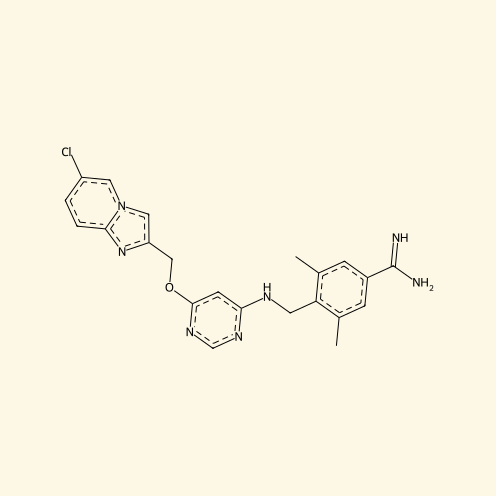 Cc1cc(C(=N)N)cc(C)c1CNc1cc(OCc2cn3cc(Cl)ccc3n2)ncn1